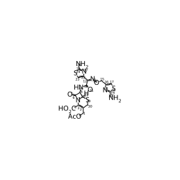 CC(=O)OCC1=C(C(=O)O)N2C(=O)C(NC(=O)/C(=N\OCc3csc(N)n3)c3csc(N)n3)[C@H]2SC1